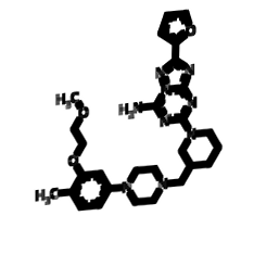 COCCOc1cc(N2CCN(CC3CCCN(c4nc(N)n5nc(-c6ccco6)nc5n4)C3)CC2)ccc1C